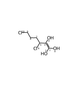 OC(O)=C(O)C(Cl)CCCCl